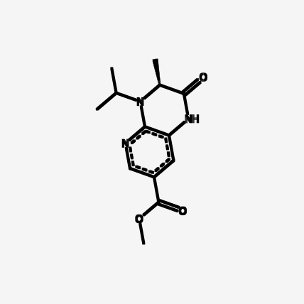 COC(=O)c1cnc2c(c1)NC(=O)[C@H](C)N2C(C)C